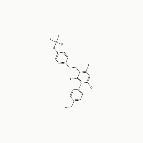 CCc1ccc(-c2c([O])cc(F)c(CCc3ccc(OC(F)(F)F)cc3)c2F)cc1